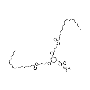 CCCCC/C=C\C/C=C\CCCCCCCC(=O)OCCCCOc1cc(COC(=O)CNC)cc(OCCCCOC(=O)CCCCCCC/C=C\C/C=C\CCCCC)c1